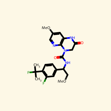 COCC(NC(=O)N1CC(=O)Nc2cc(OC)cnc21)c1ccc(C(C)(C)F)c(F)c1